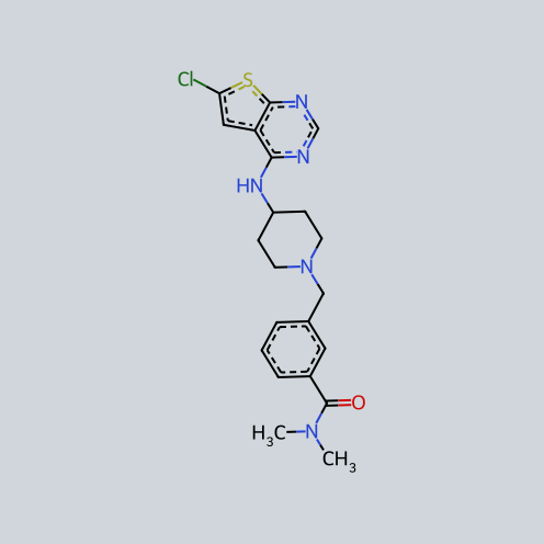 CN(C)C(=O)c1cccc(CN2CCC(Nc3ncnc4sc(Cl)cc34)CC2)c1